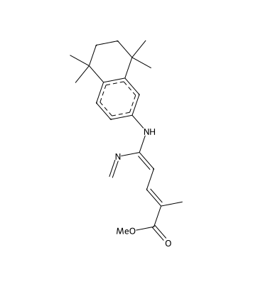 C=N/C(=C\C=C(/C)C(=O)OC)Nc1ccc2c(c1)C(C)(C)CCC2(C)C